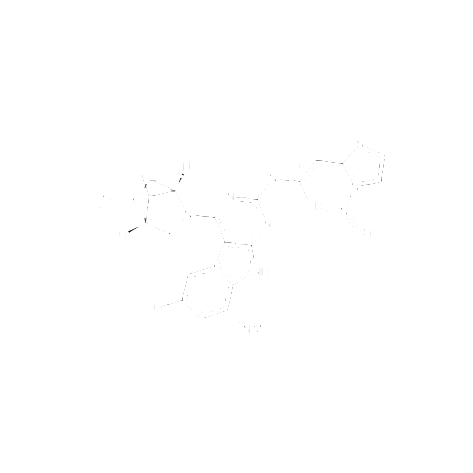 C=Nn1ccnc1/C=C(\C)Nc1nc(N2C[C@H]3[C@@H](C)[C@@H]2C[C@H]3N)c2c(n1)[nH]c1c(NC)cc(F)cc12